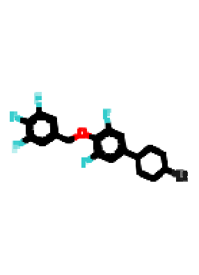 CCC1CCC(c2cc(F)c(OCc3cc(F)c(F)c(F)c3)c(F)c2)CC1